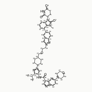 Cn1c(=O)n(C2CCC(=O)NC2=O)c2cccc(-c3ccc4nn(CCOCC5CCC(n6cc(NC(=O)c7cnn8ccc(N9CCOCC9)nc78)c(C(F)F)n6)CC5)cc4c3)c21